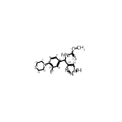 COC(=S)NC(c1ccc(N2CCSCC2)c(F)c1)c1c[nH]nn1